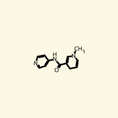 CN1C=CCC(C(=O)Nc2ccncc2)=C1